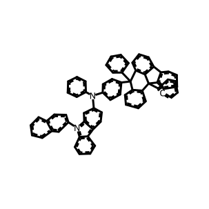 c1ccc(N(c2ccc(C3(c4ccccc4)c4ccccc4C4(c5ccccc5)c5ccccc5-c5cccc3c54)cc2)c2ccc3c4ccccc4n(-c4ccc5ccccc5c4)c3c2)cc1